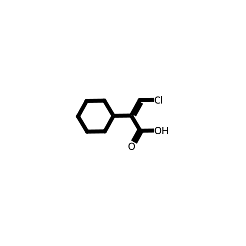 O=C(O)C(=CCl)C1CCCCC1